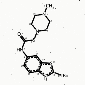 CN1CCN(SC(=O)Nc2ccc3nc(C(C)(C)C)sc3c2)CC1